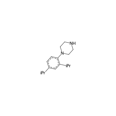 CC(C)c1ccc(N2CCNCC2)c(C(C)C)c1